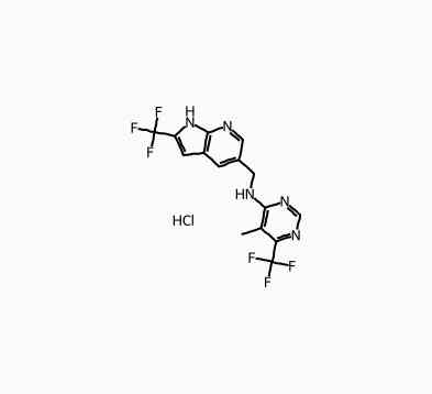 Cc1c(NCc2cnc3[nH]c(C(F)(F)F)cc3c2)ncnc1C(F)(F)F.Cl